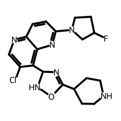 FC1CCN(c2ccc3ncc(Cl)c(C4N=C(C5CCNCC5)ON4)c3n2)C1